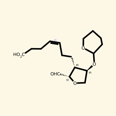 O=C[C@H]1OC[C@H](OC2CCCCO2)[C@H]1CC/C=C\CCC(=O)O